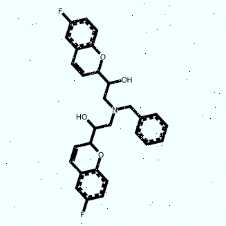 OC(CN(Cc1ccccc1)CC(O)C1C=Cc2cc(F)ccc2O1)C1C=Cc2cc(F)ccc2O1